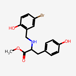 COC(=O)C(Cc1ccc(O)cc1)NCc1cc(Br)ccc1O